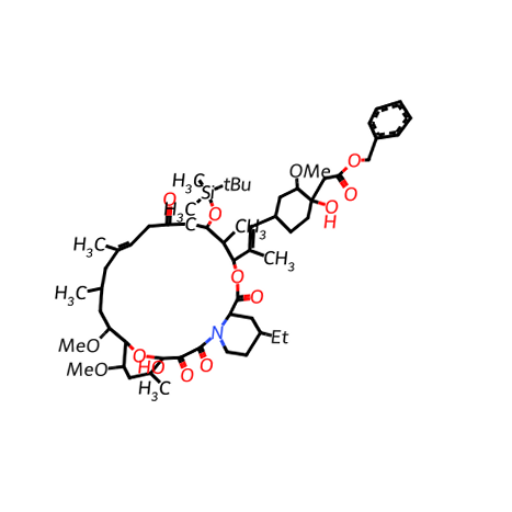 CCC1CCN2C(=O)C(=O)C3(O)OC(C(OC)CC(C)C/C(C)=C/CC(=O)CC(O[Si](C)(C)C(C)(C)C)C(C)C(C(C)=CC4CCC(O)(CC(=O)OCc5ccccc5)C(OC)C4)OC(=O)C2C1)C(OC)CC3C